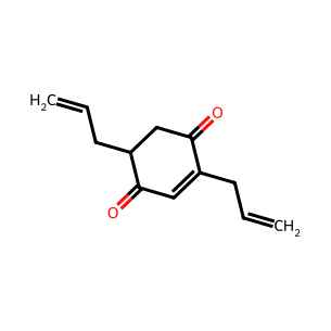 C=CCC1=CC(=O)C(CC=C)CC1=O